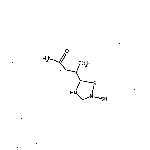 NC(=O)CC(C(=O)O)C1NCN(S)S1